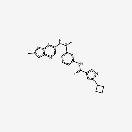 Cc1cc2ncc(N[C@@H](C)c3cccc(NC(=O)c4cnn(C5CCC5)c4)c3)nc2s1